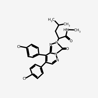 CNC(=O)C(CC(C)C)n1nc2c(-c3ccc(Cl)cc3)c(-c3ccc(Cl)cc3)cnn2c1=O